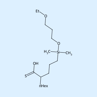 CCCCCCC(CCC[Si](C)(C)OCCCOCC)C(O)=S